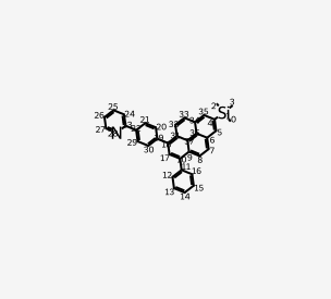 C[Si](C)(C)c1cc2ccc3c(-c4ccccc4)cc(-c4ccc(-c5ccccn5)cc4)c4ccc(c1)c2c34